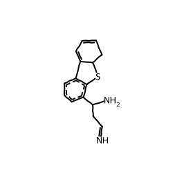 N=CCC(N)c1cccc2c1SC1CC=CC=C21